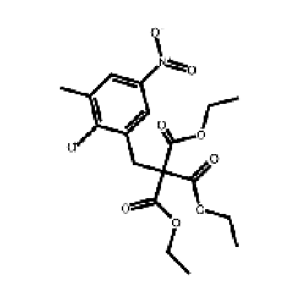 CCOC(=O)C(Cc1cc([N+](=O)[O-])cc(C)c1Cl)(C(=O)OCC)C(=O)OCC